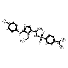 CCn1c(C(C)NS(=O)(=O)c2ccc(C(C)C)cc2)cnc1Oc1ccc(C)cc1